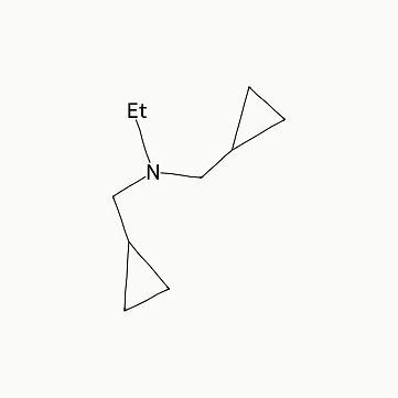 [CH2]CN(CC1CC1)CC1CC1